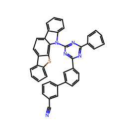 N#Cc1cccc(-c2cccc(-c3nc(-c4ccccc4)nc(-n4c5ccccc5c5ccc6c7ccccc7sc6c54)n3)c2)c1